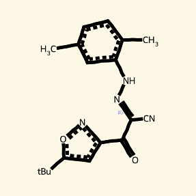 Cc1ccc(C)c(N/N=C(\C#N)C(=O)c2cc(C(C)(C)C)on2)c1